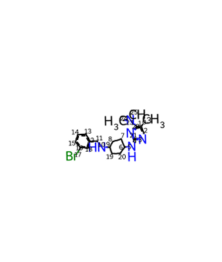 Cc1cnc(NC2CCC(NCc3cccc(Br)c3)CC2)nc1N(C)C